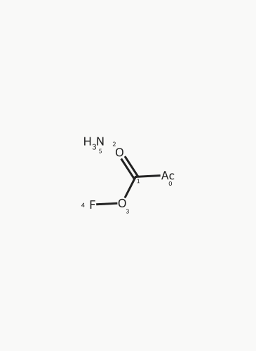 CC(=O)C(=O)OF.N